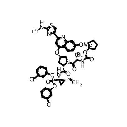 C=C[C@@H]1C[C@]1(NC(=O)[C@@H]1C[C@@H](Oc2cc(-c3csc(NC(C)C)n3)nc3cc(OC)ccc23)CN1C(=O)[C@@H](NC(=O)OC1CCCC1)C(C)(C)C)P(=O)(Oc1cccc(Cl)c1)Oc1cccc(Cl)c1